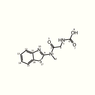 CN(C(=O)CNC(=O)O)c1nc2ccccc2s1